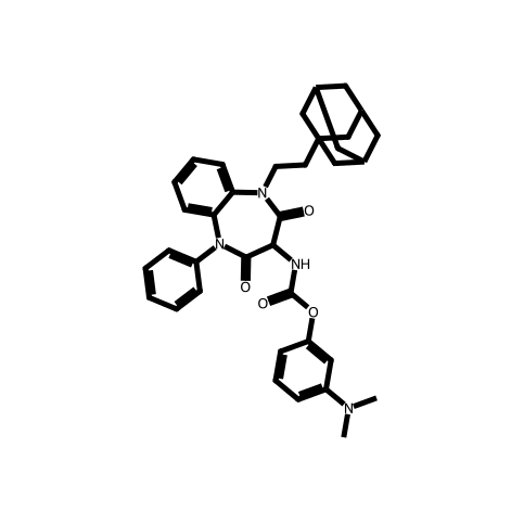 CN(C)c1cccc(OC(=O)NC2C(=O)N(CCC34CC5CC(CC(C5)C3)C4)c3ccccc3N(c3ccccc3)C2=O)c1